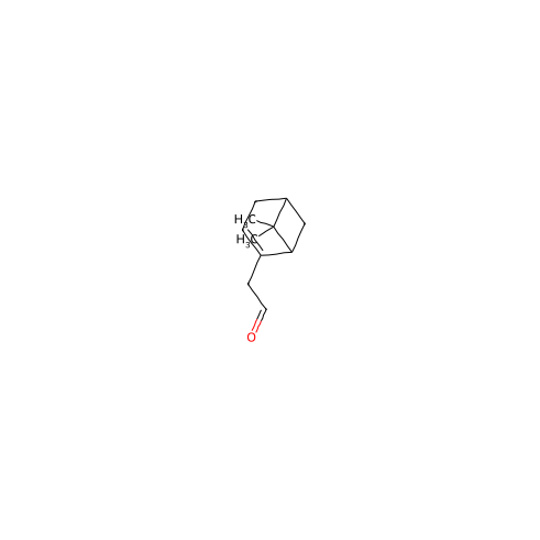 CC1(C)C2CC=C(CC=O)C1C2